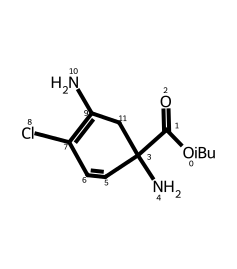 CC(C)COC(=O)C1(N)C=CC(Cl)=C(N)C1